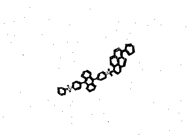 C[Si](C)(c1ccccc1)c1ccc(-c2c3ccccc3c(-c3ccc([Si](C)(C)c4ccc5ccc6c(-c7ccccc7)ccc7ccc4c5c76)cc3)c3ccccc23)cc1